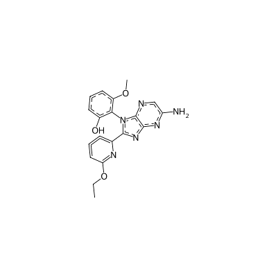 CCOC1=NC(c2nc3nc(N)cnc3n2-c2c(O)cccc2OC)=C=C=C1